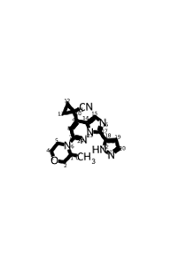 CC1COCCN1c1cc(C2(C#N)CC2)c2cnc(-c3ccn[nH]3)n2n1